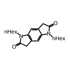 CCCCCCN1C(=O)Cc2cc3c(cc21)CC(=O)N3CCCCCC